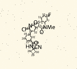 CNC(=O)c1c(-c2ccc(F)cc2)oc2nc(Cl)c(-c3cccc(C(=O)NC4(C#N)CCC4)c3)cc12